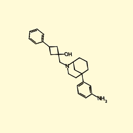 Nc1cccc(C23CCCC(C2)N(CC2(O)CC(c4ccccc4)C2)CC3)c1